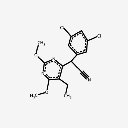 CCc1c(OC)nc(OC)nc1C(C#N)c1cc(Cl)cc(Cl)c1